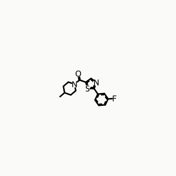 CC1CCN(C(=O)c2cnc(-c3cccc(F)c3)s2)CC1